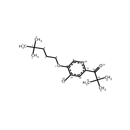 CC(C)(C)CCCOc1cnc(C(=O)C(C)(C)C)cc1Cl